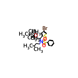 CC(C)CCN(C(CO[Si](C)(C)C(C)(C)C)c1cc(Br)cs1)S(=O)(=O)c1ccccc1